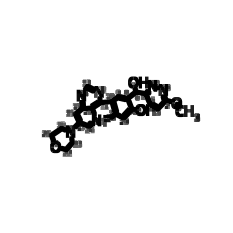 COc1ccc(C(O)c2cc(-c3ncnc4cc(N5CCOCC5)cnc34)c(F)cc2O)nn1